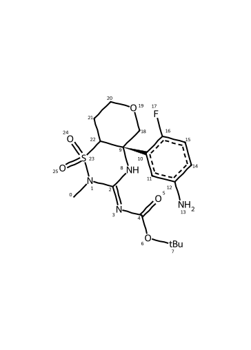 CN1/C(=N/C(=O)OC(C)(C)C)N[C@@]2(c3cc(N)ccc3F)COCCC2S1(=O)=O